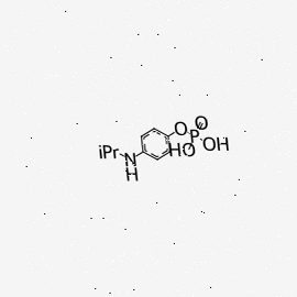 CC(C)Nc1ccc(OP(=O)(O)O)cc1